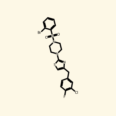 O=S(=O)(c1ccccc1Br)N1CCN(c2nc(Cc3ccc(F)c(Cl)c3)cs2)CC1